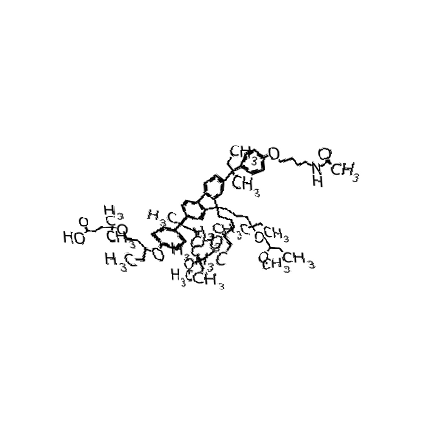 CCC(COC(C)(CC)CCCC1(CCCC(C)(CC)OCC(C)(CC)OC)c2cc(C(C)(CC)c3ccc(OCCCCNC(C)=O)cc3)ccc2-c2ccc(C(C)(CC)c3ccc(OC(CC)CCOC(C)(C)CCC(=O)O)cc3)cc21)OC